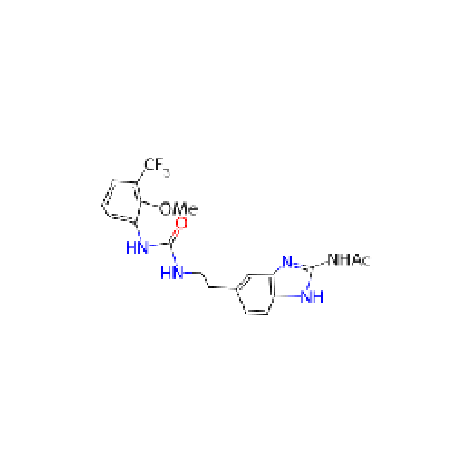 COc1c(NC(=O)NCCc2ccc3[nH]c(NC(C)=O)nc3c2)cccc1C(F)(F)F